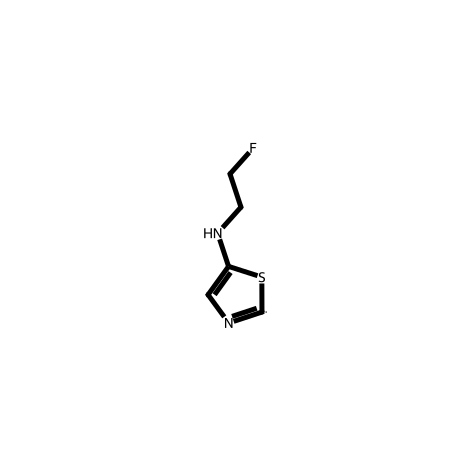 FCCNc1cn[c]s1